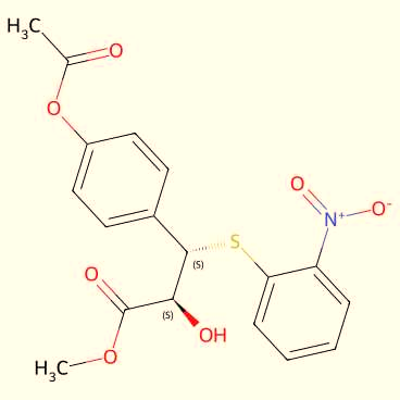 COC(=O)[C@H](O)[C@@H](Sc1ccccc1[N+](=O)[O-])c1ccc(OC(C)=O)cc1